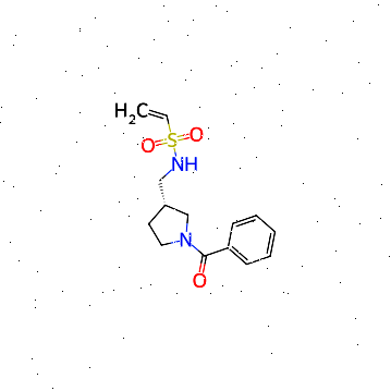 C=CS(=O)(=O)NC[C@H]1CCN(C(=O)c2ccccc2)C1